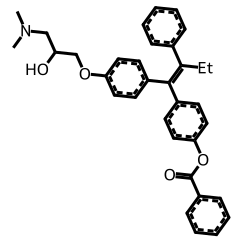 CC/C(=C(/c1ccc(OCC(O)CN(C)C)cc1)c1ccc(OC(=O)c2ccccc2)cc1)c1ccccc1